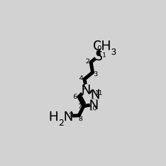 CSCCCn1cc(CN)nn1